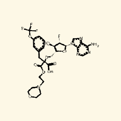 Nc1ncnc2c1ncn2[C@@H]1O[C@H](COC(Cc2cccc(OC(F)(F)F)c2)(C(=O)O)C(=O)OCCN2CCOCC2)[C@@H](O)[C@@H]1F